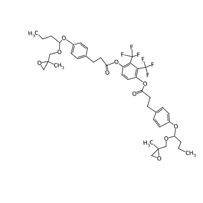 CCCC(OCC1(C)CO1)Oc1ccc(CCC(=O)Oc2ccc(OC(=O)CCc3ccc(OC(CCC)OCC4(C)CO4)cc3)c(C(F)(F)F)c2C(F)(F)F)cc1